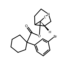 O=C(O[C@H]1CN2CCC1CC2)C1(c2cccc(Br)c2)CCCCC1